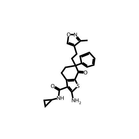 Cc1nocc1CCC1(c2ccccc2)CCc2c(sc(N)c2C(=O)NC2CC2)C1=O